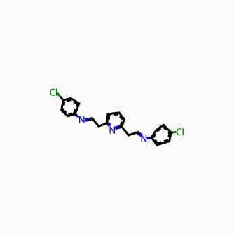 Clc1ccc(N=CCc2cccc(CC=Nc3ccc(Cl)cc3)n2)cc1